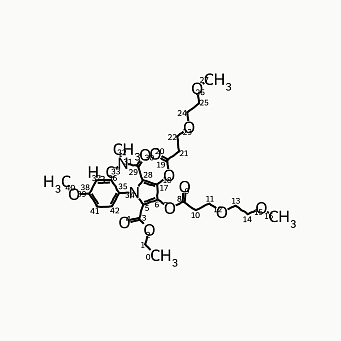 CCOC(=O)c1c(OC(=O)CCOCCOC)c(OC(=O)CCOCCOC)c(C(=O)N(C)C)n1-c1ccc(OC)cc1